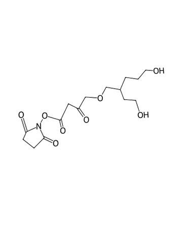 O=C(COCC(CCO)CCCO)CC(=O)ON1C(=O)CCC1=O